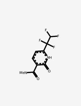 CNC(=O)c1ccc(C(F)(F)C(F)F)[nH]c1=O